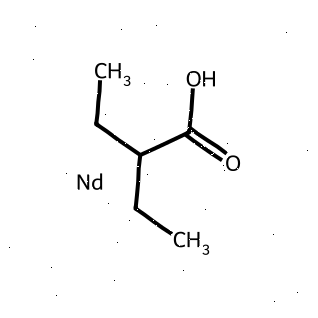 CCC(CC)C(=O)O.[Nd]